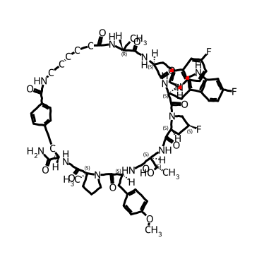 COc1ccc(C[C@@H]2NC(=O)[C@H]([C@H](C)O)NC(=O)[C@@H]3C[C@H](F)CN3C(=O)[C@H](Cc3c[nH]c4cc(F)ccc34)NC(=O)[C@H](Cc3c[nH]c4ccc(F)cc34)NC(=O)[C@@H](C)NC(=O)CCCCCNC(=O)c3ccc(cc3)C[C@@H](C(N)=O)NC(=O)[C@]3(C)CCCN3C2=O)cc1